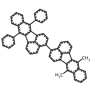 Cc1c2c(c(C)c3ccccc13)-c1ccc(-c3ccc4c5c(cccc35)-c3c-4c(-c4ccccc4)c4ccccc4c3-c3ccccc3)c3cccc-2c13